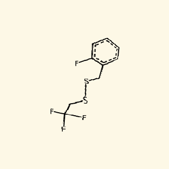 Fc1ccccc1CSSCC(F)(F)F